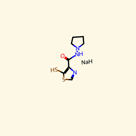 O=C(NN1CCCC1)c1ncsc1S.[NaH]